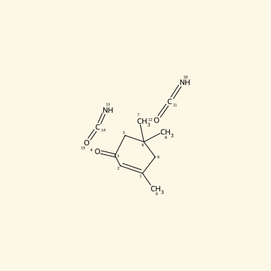 CC1=CC(=O)CC(C)(C)C1.N=C=O.N=C=O